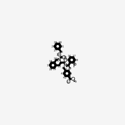 COC(=O)c1ccc(CN(C(=O)C2Cc3ccccc3CN2C(=O)OCc2ccccc2)[C@H](C)c2ccccc2F)cc1